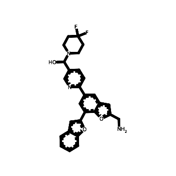 NCc1cc2cc(-c3ccc(C(O)N4CCC(F)(F)CC4)cn3)cc(-c3cc4ccccc4o3)c2o1